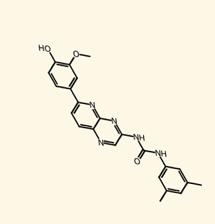 COc1cc(-c2ccc3ncc(NC(=O)Nc4cc(C)cc(C)c4)nc3n2)ccc1O